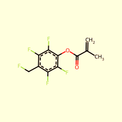 C=C(C)C(=O)Oc1c(F)c(F)c(CF)c(F)c1F